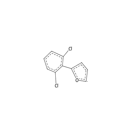 Clc1cccc(Cl)c1-c1cc[c]o1